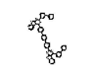 c1ccc(-c2cccc(-c3nc(-c4ccc(-c5ccc(-c6ccc(-c7nc(-c8cccc(-c9ccccc9)c8)c8c(n7)sc7ccccc78)cc6)cc5)cc4)c4c(n3)sc3ccccc34)c2)cc1